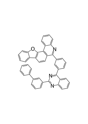 c1ccc(-c2cccc(-c3nc(-c4cccc(-c5nc6ccccc6c6c5ccc5c7ccccc7oc56)c4)c4ccccc4n3)c2)cc1